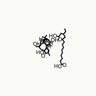 CC1=C[C@H]2[C@]3(O)[C@H](C)[C@@H](O)[C@@]4(O)[C@H]([C@@H]3C=C(CO)C[C@@]2(O)C1=O)C4(C)C.CCC(CCCCCCCCCCC(=O)O)CC(=O)O